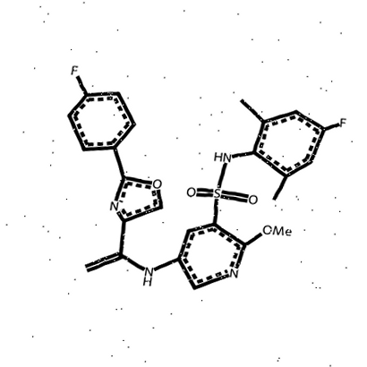 C=C(Nc1cnc(OC)c(S(=O)(=O)Nc2c(C)cc(F)cc2C)c1)c1coc(-c2ccc(F)cc2)n1